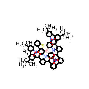 CC(C)(C)c1ccc2c(c1)c1cc(C(C)(C)C)ccc1n2-c1ccc2c(c1)N(c1c(-c3ccccc3)cccc1-c1ccccc1)c1cc(-n3c4ccccc4c4ccccc43)cc3c1B2c1c(cc(-n2c4ccc(C(C)(C)C)cc4c4cc(C(C)(C)C)ccc42)c2c1sc1ccccc12)N3c1c(-c2ccccc2)cccc1-c1ccccc1